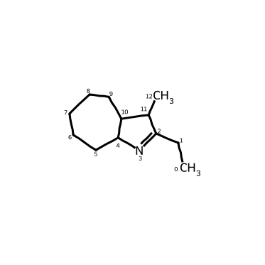 CCC1=NC2CCCCCC2C1C